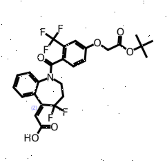 CC(C)(C)OC(=O)COc1ccc(C(=O)N2CCC(F)(F)/C(=C\C(=O)O)c3ccccc32)c(C(F)(F)F)c1